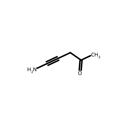 CC(=O)CC#CN